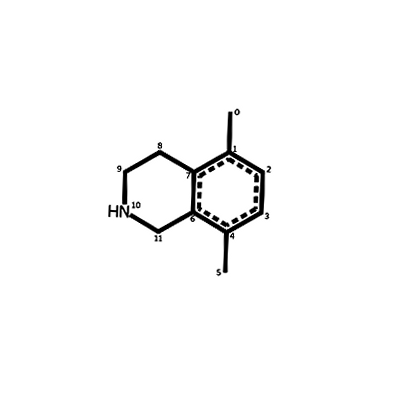 Cc1ccc(C)c2c1CCNC2